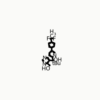 CC(F)(F)c1ccc(-c2ccc(C(O)(c3cncnc3CO)C(C)(C)C)nc2)cc1